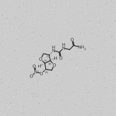 NC(=O)CNC(=O)N[C@H]1CO[C@H]2[C@@H]1OC[C@H]2O[N+](=O)[O-]